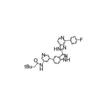 CC(C)(C)CC(=O)Nc1cncc(-c2ccc3[nH]nc(-c4nc5c(-c6ccc(F)cc6)nccc5[nH]4)c3c2)c1